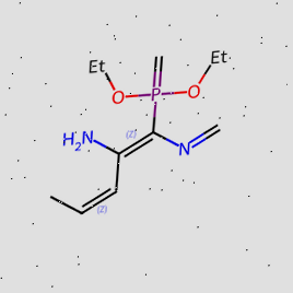 C=N/C(=C(N)\C=C/C)P(=C)(OCC)OCC